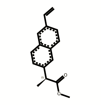 C=Cc1ccc2cc([C@H](C)C(=O)OC)ccc2c1